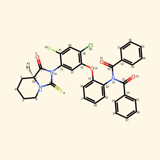 O=C1[C@@H]2CCCCN2C(=S)N1c1cc(Oc2ccccc2N(C(=O)c2ccccc2)C(=O)c2ccccc2)c(Cl)cc1F